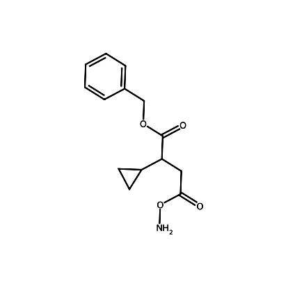 NOC(=O)CC(C(=O)OCc1ccccc1)C1CC1